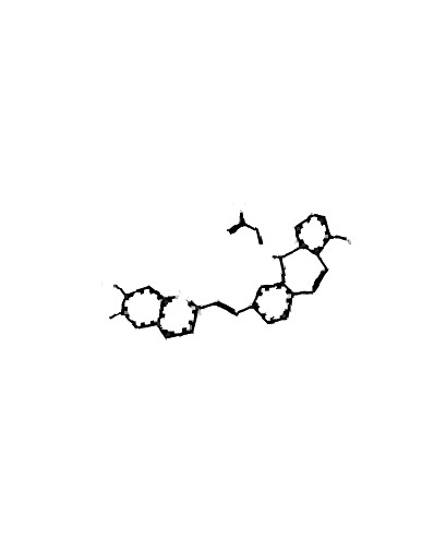 O=C(O)COC1c2cc(C=Cc3ccc4cc(F)c(Cl)cc4n3)ccc2C=Cc2c(Cl)cccc21